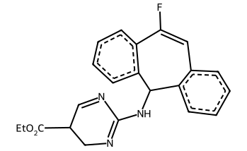 CCOC(=O)C1C=NC(NC2c3ccccc3C=C(F)c3ccccc32)=NC1